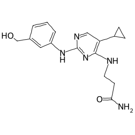 NC(=O)CCNc1nc(Nc2cccc(CO)c2)ncc1C1CC1